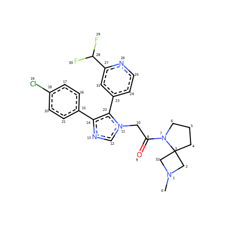 CN1CC2(CCCN2C(=O)Cn2cnc(-c3ccc(Cl)cc3)c2-c2ccnc(C(F)F)c2)C1